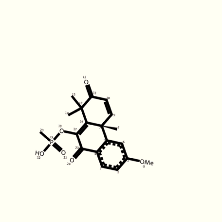 COc1ccc2c(c1)[C@@]1(C)C=CC(=O)C(C)(C)C1=C(OP(C)(=O)O)C2=O